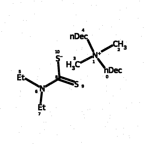 CCCCCCCCCC[N+](C)(C)CCCCCCCCCC.CCN(CC)C(=S)[S-]